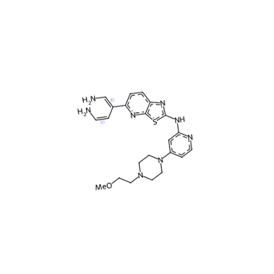 COCCN1CCN(c2ccnc(Nc3nc4ccc(C(/C=C\N)=C/N)nc4s3)c2)CC1